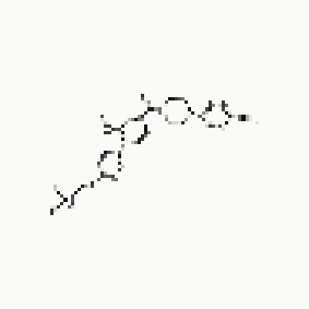 COc1cc(C(=O)N2CCC(c3ccc(N)nn3)CC2)ncc1-c1ccc(OCC2CC2(F)F)nc1